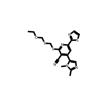 CCOCSCSc1nc(-c2nccs2)cc(-c2cnc(C)n2C)c1C#N